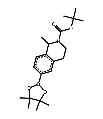 CC1c2ccc(B3OC(C)(C)C(C)(C)O3)cc2CCN1C(=O)OC(C)(C)C